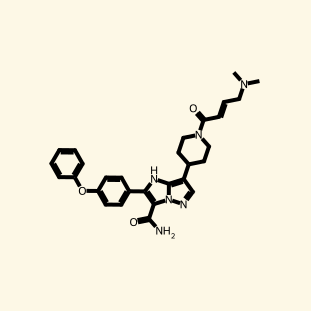 CN(C)CC=CC(=O)N1CCC(c2cnn3c(C(N)=O)c(-c4ccc(Oc5ccccc5)cc4)[nH]c23)CC1